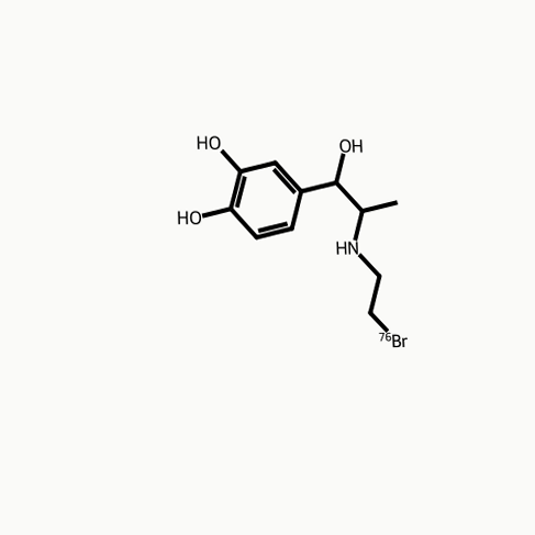 CC(NCC[76Br])C(O)c1ccc(O)c(O)c1